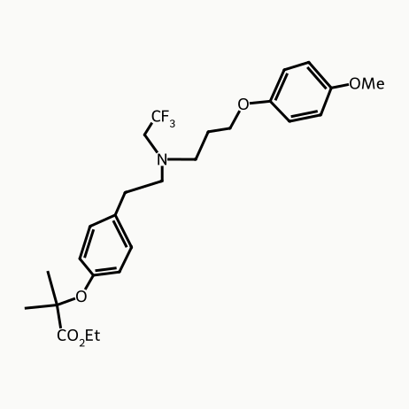 CCOC(=O)C(C)(C)Oc1ccc(CCN(CCCOc2ccc(OC)cc2)CC(F)(F)F)cc1